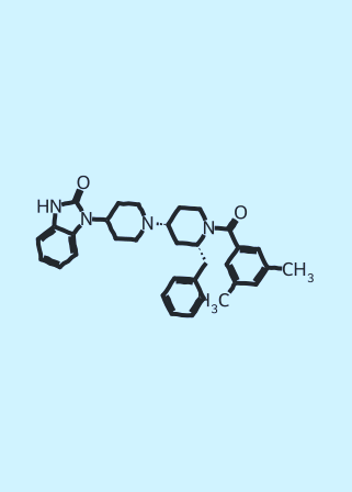 Cc1cc(C)cc(C(=O)N2CC[C@@H](N3CCC(n4c(=O)[nH]c5ccccc54)CC3)C[C@H]2Cc2ccccc2)c1